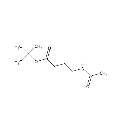 CC(=O)NCCCC(=O)OC(C)(C)C